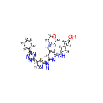 OC1CC2(C1)CC(Nc1cc(CN3CCOCC3)cc(Nc3ncc(-c4nnn(-c5ccccc5)n4)s3)n1)C2